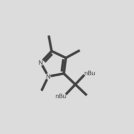 CCCCC(C)(CCCC)c1c(C)c(C)nn1C